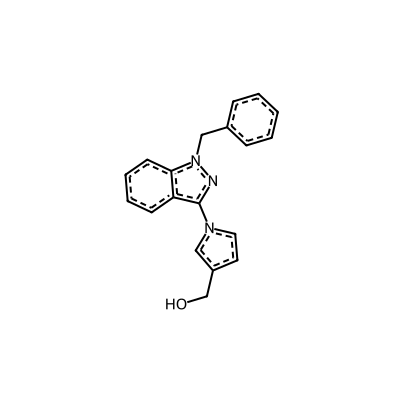 OCc1ccn(-c2nn(Cc3ccccc3)c3ccccc23)c1